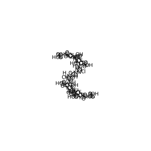 CC(CNc1nc(Cl)nc(Nc2cc(S(=O)(=O)O)cc3cc(S(=O)(=O)O)c(/N=N/c4ccc(S(=O)(=O)CCOS(=O)(=O)O)cc4)c(O)c23)n1)Nc1nc(Cl)nc(Nc2cc(S(=O)(=O)O)cc3cc(S(=O)(=O)O)c(/N=N/c4ccc5cc(S(=O)(=O)CCOS(=O)(=O)O)ccc5c4S(=O)(=O)O)c(O)c23)n1